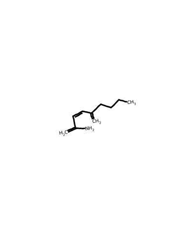 C=C(N)/C=C\C(=C)CCCC